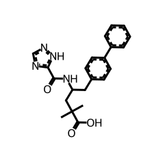 CC(C)(CC(Cc1ccc(-c2ccccc2)cc1)NC(=O)c1ncn[nH]1)C(=O)O